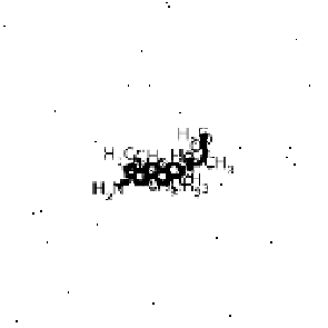 C=C(C)[C@@H]1CC[C@]2(CCN)CC[C@]3(C)C(CCC4[C@@]5(C)CC[C@H](OC(=O)CC(C)(C)CC(=O)OC)C(C)(C)C5CC[C@]43C)C12